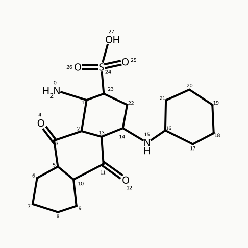 NC1C2C(=O)C3CCCCC3C(=O)C2C(NC2CCCCC2)CC1S(=O)(=O)O